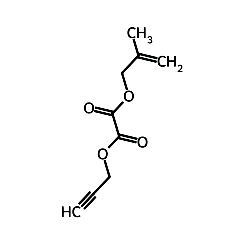 C#CCOC(=O)C(=O)OCC(=C)C